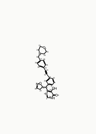 O=c1[nH]cnc(C(c2cccc(C#Cc3ccc(CN4CCOCC4)cc3)c2)C2CC=NO2)c1O